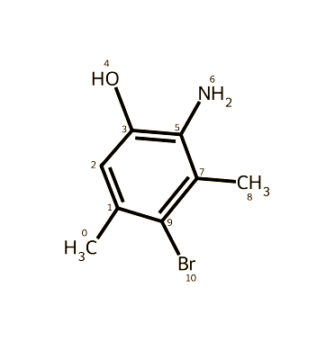 Cc1cc(O)c(N)c(C)c1Br